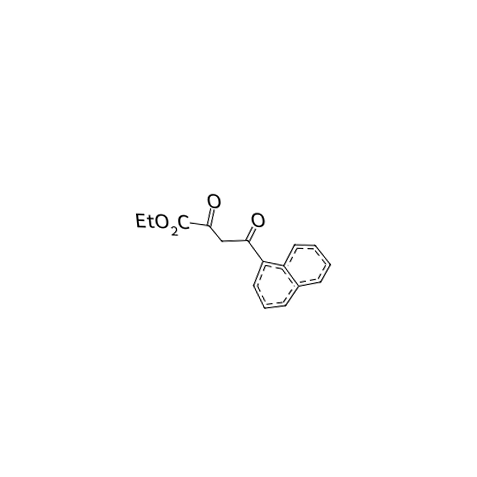 CCOC(=O)C(=O)CC(=O)c1cccc2ccccc12